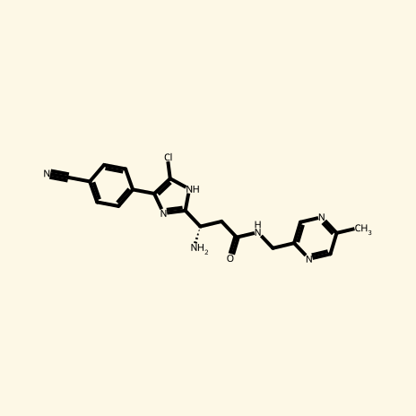 Cc1cnc(CNC(=O)C[C@H](N)c2nc(-c3ccc(C#N)cc3)c(Cl)[nH]2)cn1